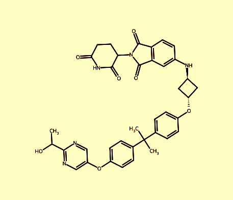 CC(O)c1ncc(Oc2ccc(C(C)(C)c3ccc(O[C@H]4C[C@H](Nc5ccc6c(c5)C(=O)N(C5CCC(=O)NC5=O)C6=O)C4)cc3)cc2)cn1